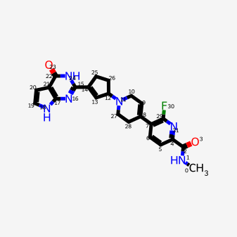 CNC(=O)c1ccc(C2=CCN(C3C=C(c4nc5[nH]ccc5c(=O)[nH]4)CC3)CC2)c(F)n1